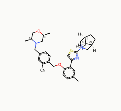 Cc1ccc(OCc2ccc(CN3C[C@H](C)OC[C@@H]3C)cc2C#N)c(-c2csc(N3C[C@H]4CC[C@@H](C3)[C@H]4C(=O)O)n2)c1